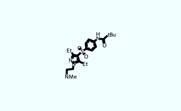 CCc1nn(CCNC)c(CC)c1S(=O)(=O)c1ccc(NC(=O)C(C)(C)C)cc1